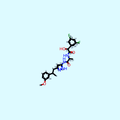 COc1cccc(C(C)Cc2cc(NC(=O)C(C)NC(=O)C(O)c3cc(F)cc(F)c3)[nH]n2)c1